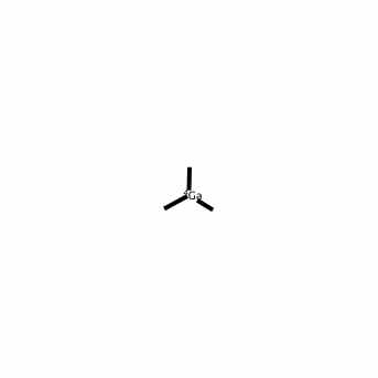 [CH3][4Ga]([CH3])[CH3]